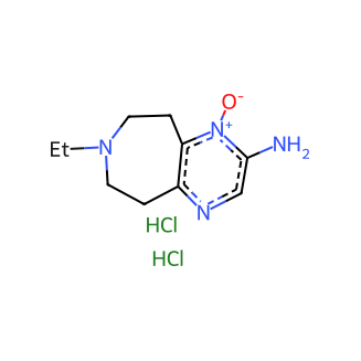 CCN1CCc2ncc(N)[n+]([O-])c2CC1.Cl.Cl